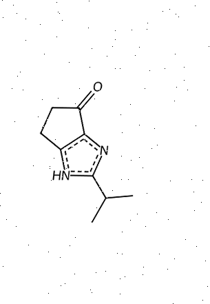 CC(C)c1nc2c([nH]1)CCC2=O